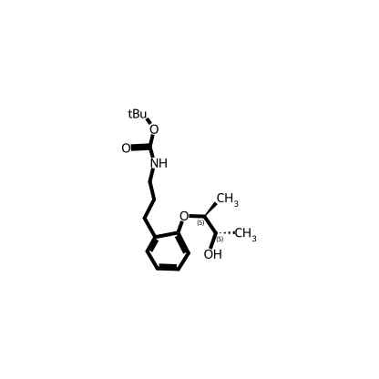 C[C@H](O)[C@H](C)Oc1ccccc1CCCNC(=O)OC(C)(C)C